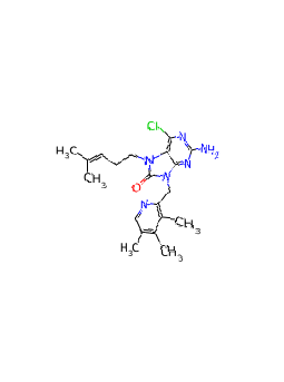 CC(C)=CCCn1c(=O)n(Cc2ncc(C)c(C)c2C)c2nc(N)nc(Cl)c21